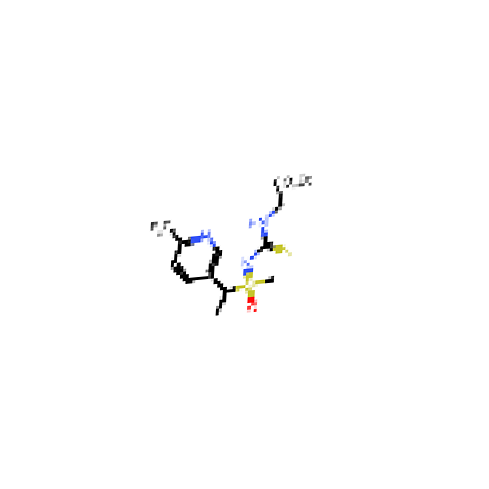 CCOC(=O)CNC(=S)N=S(C)(=O)C(C)c1ccc(C(F)(F)F)nc1